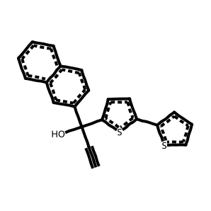 C#CC(O)(c1ccc2ccccc2c1)c1ccc(-c2cccs2)s1